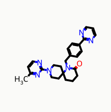 Cc1ccnc(N2CCC3(CCCC(=O)N3Cc3ccc(-c4ncccn4)cc3)CC2)n1